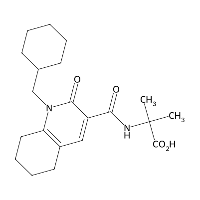 CC(C)(NC(=O)c1cc2c(n(CC3CCCCC3)c1=O)CCCC2)C(=O)O